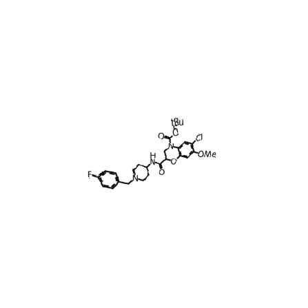 COc1cc2c(cc1Cl)N(C(=O)OC(C)(C)C)CC(C(=O)NC1CCN(Cc3ccc(F)cc3)CC1)O2